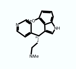 CNCC[C@H](c1ccncc1)c1c[nH]c2cccc(OC)c12